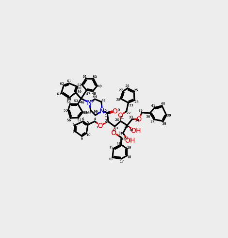 O=C([C@H](OCc1ccccc1)[C@@H](OCc1ccccc1)[C@H](OCc1ccccc1)[C@@](O)(CO)COCc1ccccc1)N1CCN(C(c2ccccc2)(c2ccccc2)c2ccccc2)CC1